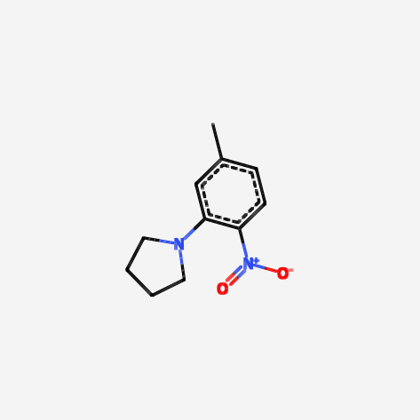 Cc1ccc([N+](=O)[O-])c(N2CCCC2)c1